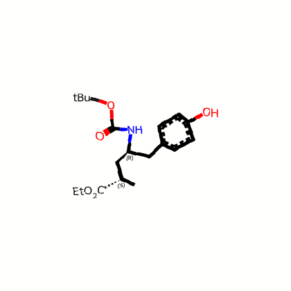 CCOC(=O)[C@@H](C)C[C@H](Cc1ccc(O)cc1)NC(=O)OC(C)(C)C